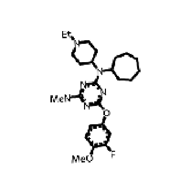 CCN1CCC(N(c2nc(NC)nc(Oc3ccc(OC)c(F)c3)n2)C2CCCCCC2)CC1